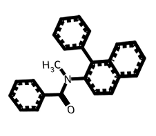 CN(C(=O)c1ccccc1)c1ccc2ccccc2c1-c1ccccc1